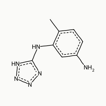 Cc1ccc(N)cc1Nc1nnn[nH]1